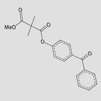 COC(=O)C(C)(C)C(=O)Oc1ccc(C(=O)c2ccccc2)cc1